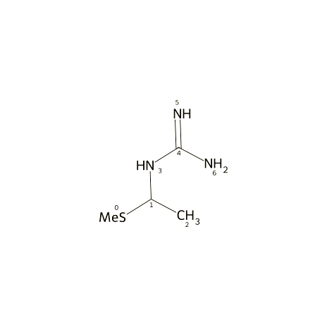 CSC(C)NC(=N)N